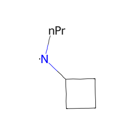 CCC[N]C1CCC1